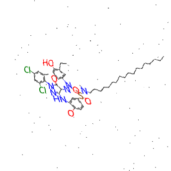 CCCCCCCCCCCCCCCCCCN(C)S(=O)(=O)c1ccc(OC)c(NC2=NN(c3c(C)cc(Cl)cc3Cl)C(=O)C2N=Nc2ccc(O)c(CC)c2)c1